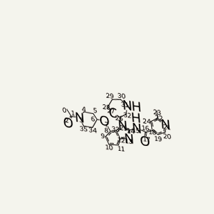 CC(=O)N1CCC(Oc2cccc3nc(NC(=O)c4ccnc(C)c4)n(C4CCCCNC4)c23)CC1